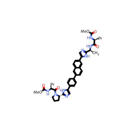 COC(=O)N[C@H](C(=O)N[C@@H](C)c1ncc(-c2ccc3cc(-c4ccc(-c5cnc([C@@H]6CCCN6C(=O)[C@@H](NC(=O)OC)C(C)C)[nH]5)cc4)ccc3c2)[nH]1)C(C)C